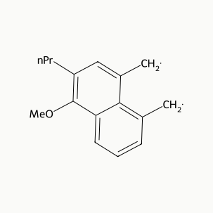 [CH2]c1cccc2c(OC)c(CCC)cc([CH2])c12